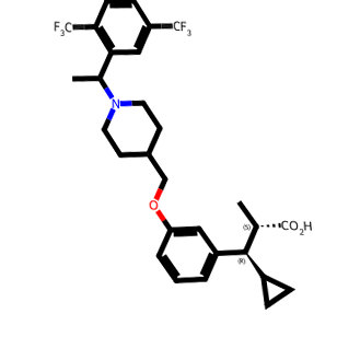 CC(c1cc(C(F)(F)F)ccc1C(F)(F)F)N1CCC(COc2cccc([C@H](C3CC3)[C@H](C)C(=O)O)c2)CC1